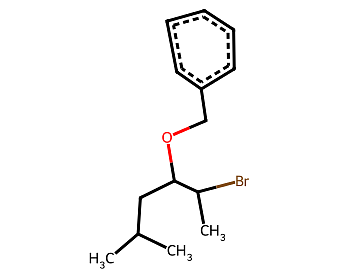 CC(C)CC(OCc1ccccc1)C(C)Br